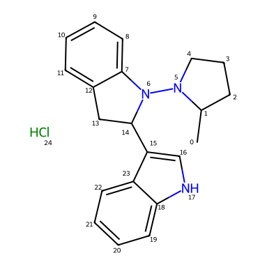 CC1CCCN1N1c2ccccc2CC1c1c[nH]c2ccccc12.Cl